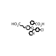 O=C(O)CCCN1CCC(O[C@@H](c2ccc(Cl)cc2)c2ccccn2)CC1.O=C(O)c1ccccc1